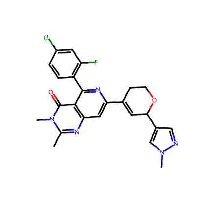 Cc1nc2cc(C3=CC(c4cnn(C)c4)OCC3)nc(-c3ccc(Cl)cc3F)c2c(=O)n1C